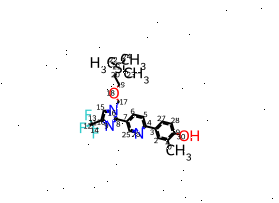 Cc1cc(-c2ccc(-c3nc(C(F)(F)F)cn3COCC[Si](C)(C)C)cn2)ccc1O